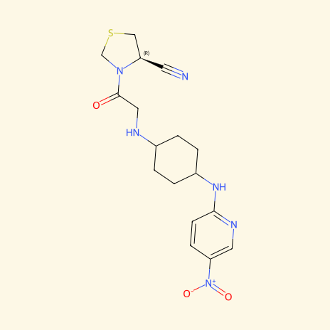 N#C[C@@H]1CSCN1C(=O)CNC1CCC(Nc2ccc([N+](=O)[O-])cn2)CC1